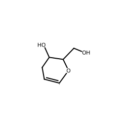 OCC1O[C]=CCC1O